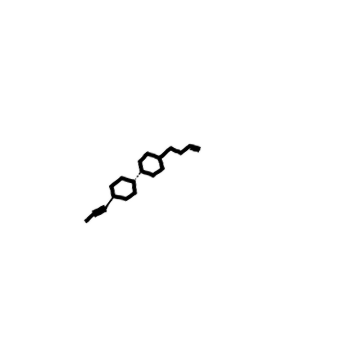 C=CCCC1CCC([C@H]2CC[C@H](C#CC)CC2)CC1